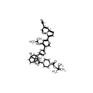 CC(C)Nc1cc(-c2ccc3cc(C#N)cnn23)ncc1-c1nnc(N2C[C@H]3CC[C@@H](C2)[C@@H]3NC(=O)N2CCN(C(=O)OC(C)(C)C)CC2)s1